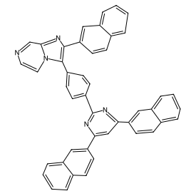 c1ccc2cc(-c3cc(-c4ccc5ccccc5c4)nc(-c4ccc(-c5c(-c6ccc7ccccc7c6)nc6cnccn56)cc4)n3)ccc2c1